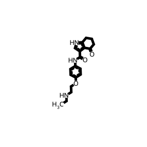 CCNCCOc1ccc(NC(=O)c2c[nH]c3c2C(=O)CCC3)cc1